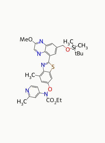 CCOC(=O)N(Oc1cc(C)c2nc(-c3cc(CO[Si](C)(C)C(C)(C)C)cc4nc(OC)cnc34)sc2c1)c1ccnc(C)c1